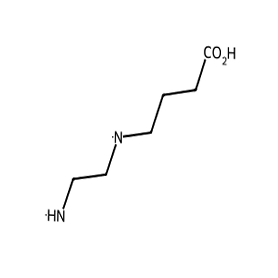 [NH]CC[N]CCCC(=O)O